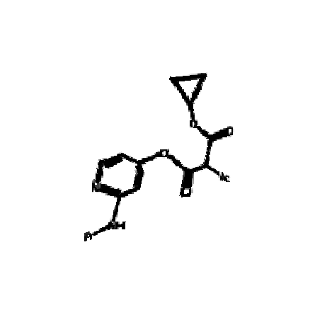 CC(=O)C(C(=O)Oc1ccnc(NC(C)C)c1)C(=O)OC1CC1